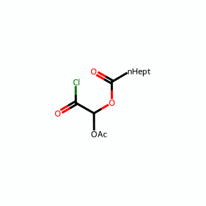 CCCCCCCC(=O)OC(OC(C)=O)C(=O)Cl